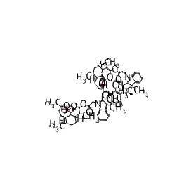 CC1=C(/C=C/C2=[N+](CC(=O)OC3O[C@@H]4O[C@]5(C)CC[C@H]6[C@H](C)CC[C@@H]([C@H]3C)C46OO5)c3ccccc3C2(C)C)CCC/C1=C\C=C1\N(CC(=O)OC2O[C@@H]3O[C@]4(C)CC[C@H]5[C@H](C)CC[C@@H]([C@H]2C)C35OO4)c2ccccc2C1(C)C